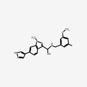 COc1cc(F)cc(CNC(O)c2nn(C)c3cc(-c4cn[nH]c4)ccc23)c1